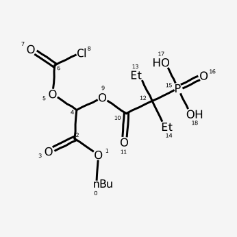 CCCCOC(=O)C(OC(=O)Cl)OC(=O)C(CC)(CC)P(=O)(O)O